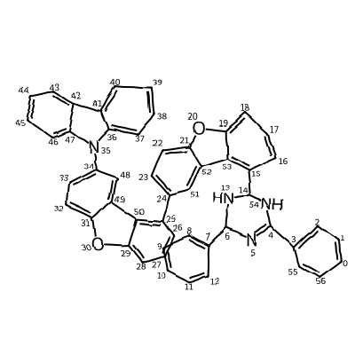 c1ccc(C2=NC(c3ccccc3)NC(c3cccc4oc5ccc(-c6cccc7oc8ccc(-n9c%10ccccc%10c%10ccccc%109)cc8c67)cc5c34)N2)cc1